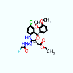 CCOC(=O)C[C@@H]1O[C@@H](c2cccc(OC)c2OC)c2cc(Cl)ccc2NC1=NNC(=O)CF